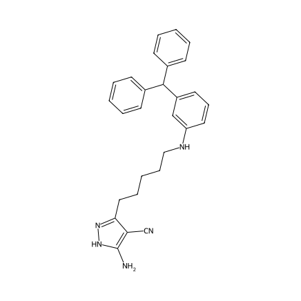 N#Cc1c(CCCCCNc2cccc(C(c3ccccc3)c3ccccc3)c2)n[nH]c1N